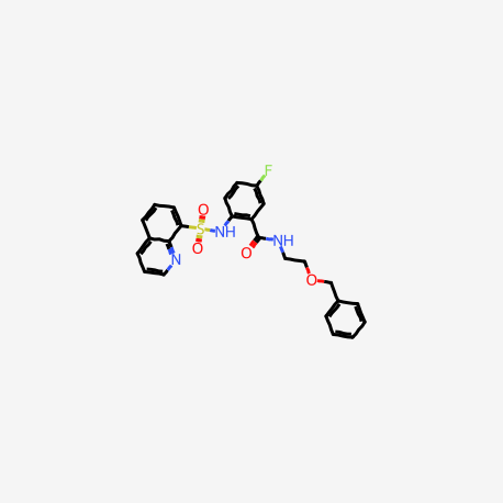 O=C(NCCOCc1ccccc1)c1cc(F)ccc1NS(=O)(=O)c1cccc2cccnc12